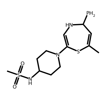 CC1=CC(P)NC=C(N2CCC(NS(C)(=O)=O)CC2)S1